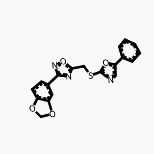 c1ccc(-c2cnc(SCc3nc(-c4ccc5c(c4)OCO5)no3)o2)cc1